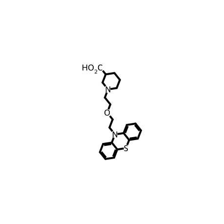 O=C(O)C1CCCN(CCOCCN2c3ccccc3Sc3ccccc32)C1